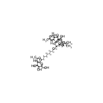 CC(=O)N[C@H]1[C@H](OCCCCCCCOC[C@H](COP(=O)(O)OC(C)(C)C)O[C@@H]2O[C@H](CO)[C@H](O)[C@H](O)[C@H]2NC(C)=O)O[C@H](CO)[C@H](O)[C@@H]1O